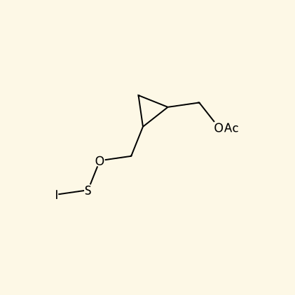 CC(=O)OCC1CC1COSI